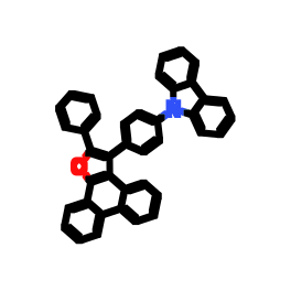 c1ccc(-c2oc3c4ccccc4c4ccccc4c3c2-c2ccc(-n3c4ccccc4c4ccccc43)cc2)cc1